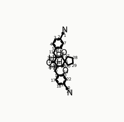 N#Cc1ccc2c(c1)O[C@@H]1[C@@H](C2)C(=O)[C@@H]2Cc3ccc(C#N)cc3O[C@H]2C12CCCC2